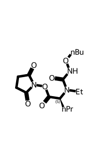 CCCCONC(=O)N(CC)[C@@H](CCC)C(=O)ON1C(=O)CCC1=O